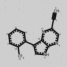 C#Cc1cnc2[nH]cc(-c3ccccc3C(F)(F)F)c2n1